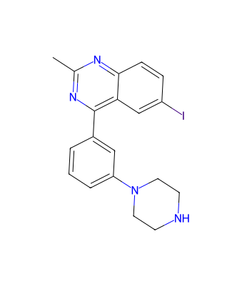 Cc1nc(-c2cccc(N3CCNCC3)c2)c2cc(I)ccc2n1